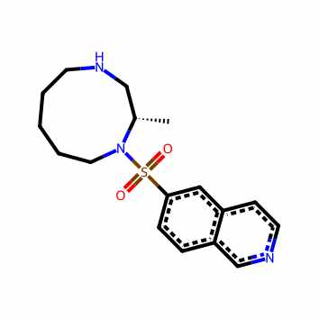 C[C@H]1CNCCCCCN1S(=O)(=O)c1ccc2cnccc2c1